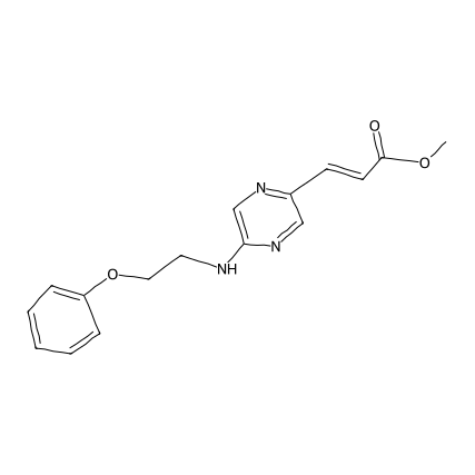 COC(=O)/C=C/c1cnc(NCCOc2ccccc2)cn1